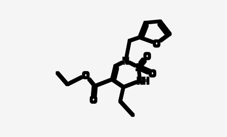 CCOC(=O)C1=CN(Cc2ccco2)S(=O)(=O)NC1CC